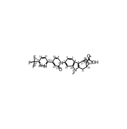 Cn1c2c(c3ccc(-n4ccc(-c5ccc(C(F)(F)F)nn5)cc4=O)cc31)C1CCC(C2)N1C(=O)O